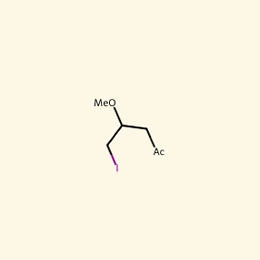 COC(CI)CC(C)=O